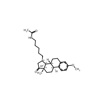 COc1ccc2c(c1)CC[C@H]1[C@@H]3[C@H](CCCCCNC(C)=O)CC(=O)[C@@]3(C)CC[C@H]21